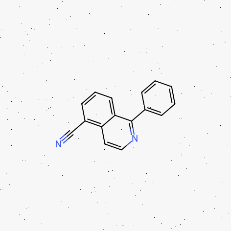 N#Cc1cccc2c(-c3ccccc3)nccc12